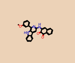 COc1cccc(-c2nc(NC3=Cc4ccccc4C(=O)C3=O)cc3c2[nH]c2ccccc23)c1